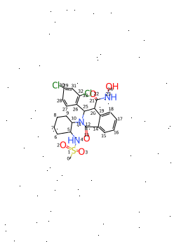 CS(=O)(=O)NC1CCCCC1N1C(=O)c2ccccc2C(C(=O)NO)C1c1ccc(Cl)cc1Cl